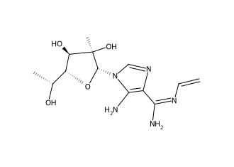 C=C/N=C(/N)c1ncn([C@@H]2O[C@H]([C@@H](C)O)[C@@H](O)[C@@]2(C)O)c1N